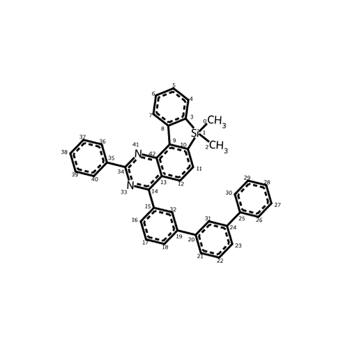 C[Si]1(C)c2ccccc2-c2c1ccc1c(-c3cccc(-c4cccc(-c5ccccc5)c4)c3)nc(-c3ccccc3)nc21